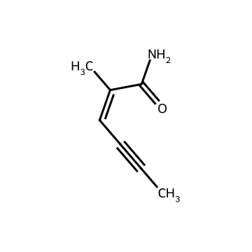 CC#CC=C(C)C(N)=O